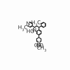 Cc1cc(C(CC(c2ccc(C3CCN(S(C)(=O)=O)CC3)cc2)c2ccccc2C)=NO)ccn1